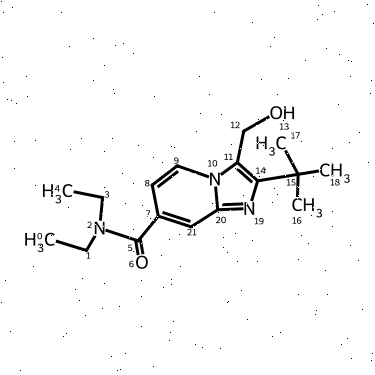 CCN(CC)C(=O)c1ccn2c(CO)c(C(C)(C)C)nc2c1